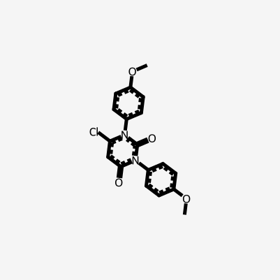 COc1ccc(-n2c(Cl)cc(=O)n(-c3ccc(OC)cc3)c2=O)cc1